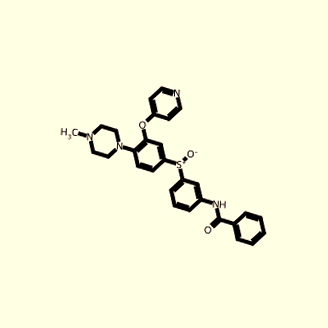 CN1CCN(c2ccc([S+]([O-])c3cccc(NC(=O)c4ccccc4)c3)cc2Oc2ccncc2)CC1